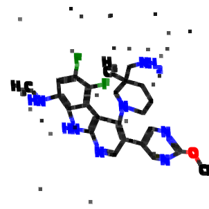 CNc1cc(F)c(F)c2c1[nH]c1ncc(-c3cnc(OC)nc3)c(N3CCCC(C)(CN)C3)c12